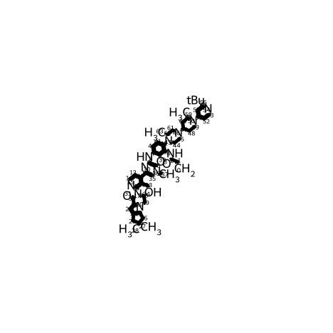 C=CC(=O)Nc1cc(Nc2nc(-c3ccnc(N4CCn5c(cc6c5CC(C)(C)C6)C4=O)c3CO)cn(C)c2=O)ccc1N1CCN(C2CCN(c3ccnc(C(C)(C)C)c3)[C@@H](C)C2)C[C@@H]1C